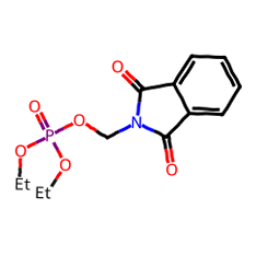 CCOP(=O)(OCC)OCN1C(=O)c2ccccc2C1=O